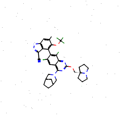 Cc1cc2[nH]nc(C#N)c2c(-c2c(F)cc3c(N4CC5CCC(C5)C4)nc(OC[C@@]45CCCN4C[C@H](F)C5)nc3c2F)c1OC(F)(F)Cl